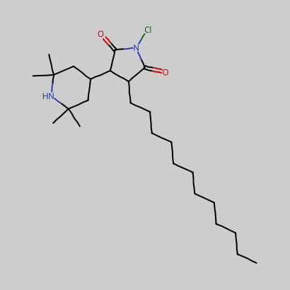 CCCCCCCCCCCCC1C(=O)N(Cl)C(=O)C1C1CC(C)(C)NC(C)(C)C1